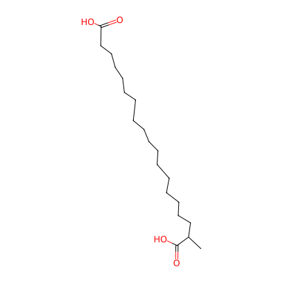 CC(CCCCCCCCCCCCCCCCC(=O)O)C(=O)O